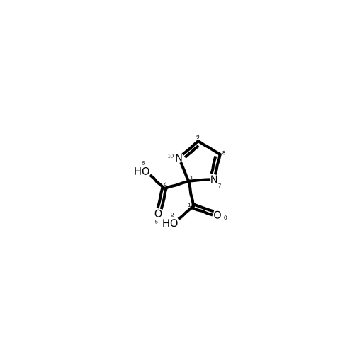 O=C(O)C1(C(=O)O)N=CC=N1